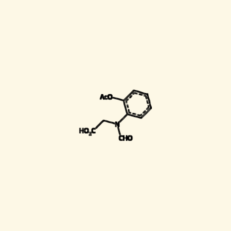 CC(=O)Oc1ccccc1N(C=O)CC(=O)O